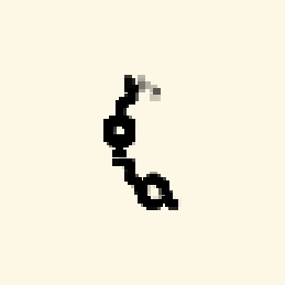 CN1CCN(CCOc2ccc(CCN)cc2)CC1